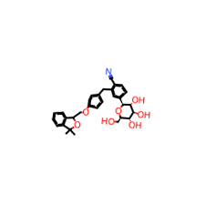 CC1(C)OC(COc2ccc(Cc3cc([C@@H]4O[C@H](CO)[C@@H](O)[C@H](O)[C@H]4O)ccc3C#N)cc2)c2ccccc21